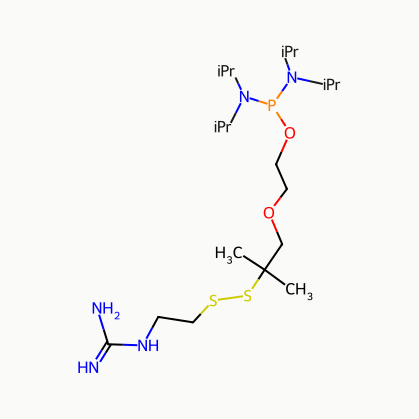 CC(C)N(C(C)C)P(OCCOCC(C)(C)SSCCNC(=N)N)N(C(C)C)C(C)C